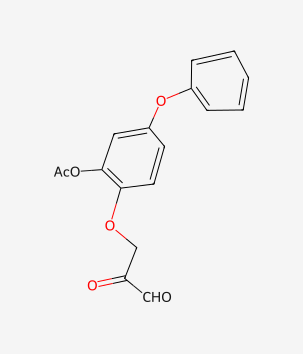 CC(=O)Oc1cc(Oc2ccccc2)ccc1OCC(=O)C=O